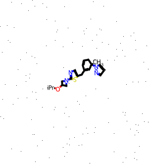 CC(C)OC1CN(c2ncc(CC3=C[C@@](C)(n4cccn4)CC=C3)s2)C1